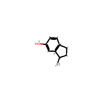 C[CH]C1CCc2ccc(O)cc21